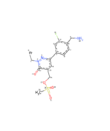 CC(C)Cn1nc(-c2ccc(CN)c(F)c2)cc(COS(C)(=O)=O)c1=O